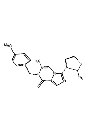 COc1ccc(Cn2c(C)cn3c([C@@H]4CCO[C@H]4C)ncc3c2=O)cc1